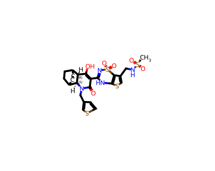 CS(=O)(=O)NCc1csc2c1S(=O)(=O)N=C(C1=C(O)[C@@H]3C4CCC(CC4)[C@@H]3N(Cc3ccsc3)C1=O)N2